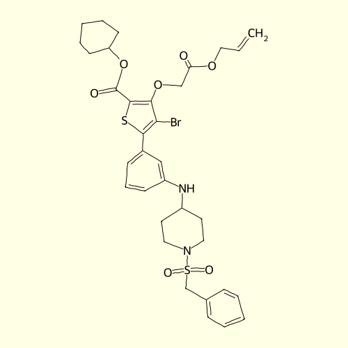 C=CCOC(=O)COc1c(C(=O)OC2CCCCC2)sc(-c2cccc(NC3CCN(S(=O)(=O)Cc4ccccc4)CC3)c2)c1Br